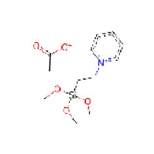 CC(=O)[O-].CO[Si](CC[n+]1ccccc1)(OC)OC